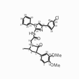 COc1ccc(C2CC(C)N(CC(=O)Nc3nc(-c4ccc(Cl)s4)cn3-c3ccccc3)C2=O)cc1OC